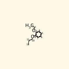 CCOc1ccccc1OCCI